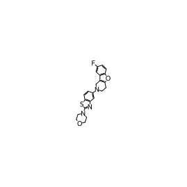 Fc1ccc2oc3c(c2c1)CN(c1ccc2sc(N4CCOCC4)nc2c1)CC3